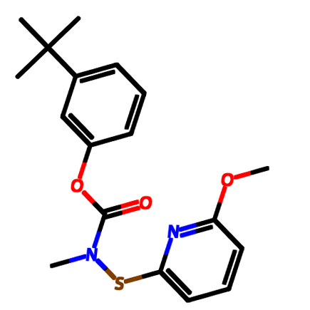 COc1cccc(SN(C)C(=O)Oc2cccc(C(C)(C)C)c2)n1